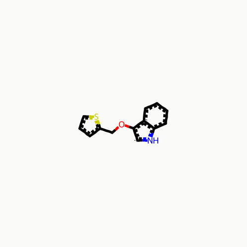 [c]1[nH]c2ccccc2c1OCc1cccs1